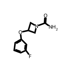 NC(=O)N1CC(Oc2cccc(F)c2)C1